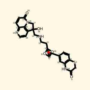 O=C1CSc2ccc(N3CC4(CCNCC5(O)Cn6c(=O)ccc7nccc5c76)OC3O4)cc2N1